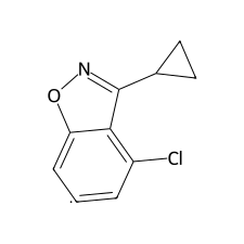 Clc1c[c]cc2onc(C3CC3)c12